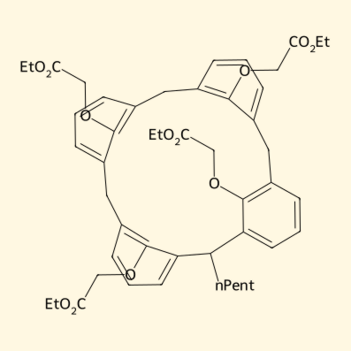 CCCCCC1c2cccc(c2OCC(=O)OCC)Cc2cccc(c2OCC(=O)OCC)Cc2cccc(c2OCC(=O)OCC)Cc2cccc1c2OCC(=O)OCC